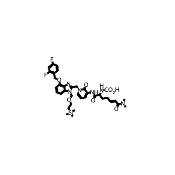 CN(C)C(=O)/C=C/CCC(NC(=O)O)C(=O)Nc1cccn(Cc2nc3c(OCc4ccc(F)cc4F)cccc3n2COCC[Si](C)(C)C)c1=O